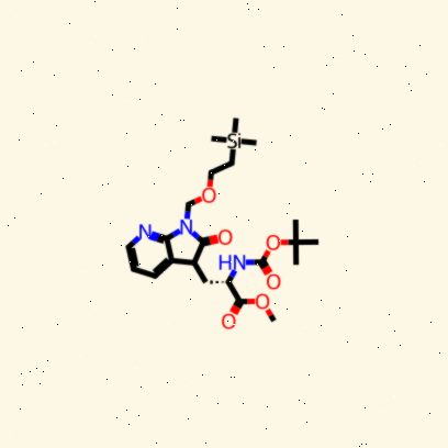 COC(=O)[C@H](CC1C(=O)N(COCC[Si](C)(C)C)c2ncccc21)NC(=O)OC(C)(C)C